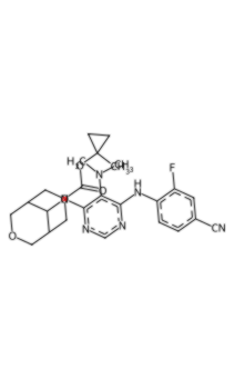 CN(C)c1c(Nc2ccc(C#N)cc2F)ncnc1OC1C2COCC1CN(C(=O)OC1(C)CC1)C2